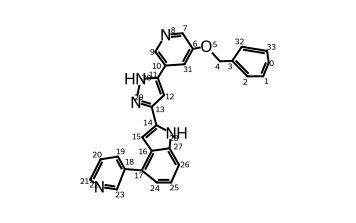 c1ccc(COc2cncc(-c3cc(-c4cc5c(-c6cccnc6)cccc5[nH]4)n[nH]3)c2)cc1